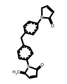 C=C1C=CC(=O)N1c1ccc(Cc2ccc(N3CC=CC3=O)cc2)cc1